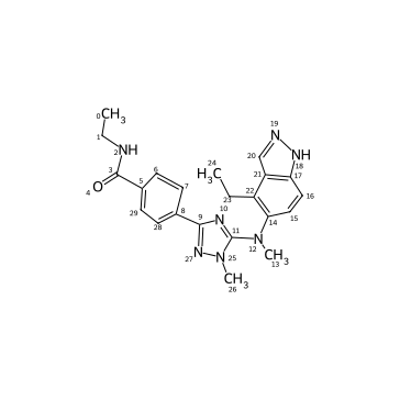 CCNC(=O)c1ccc(-c2nc(N(C)c3ccc4[nH]ncc4c3CC)n(C)n2)cc1